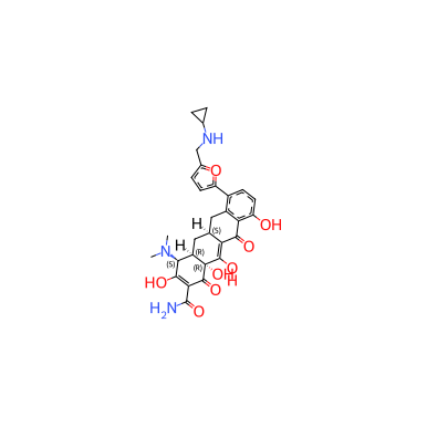 CN(C)[C@@H]1C(O)=C(C(N)=O)C(=O)[C@]2(O)C(O)=C3C(=O)c4c(O)ccc(-c5ccc(CNC6CC6)o5)c4C[C@@H]3C[C@H]12